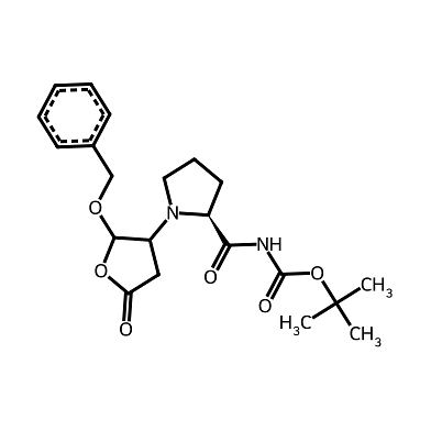 CC(C)(C)OC(=O)NC(=O)[C@@H]1CCCN1C1CC(=O)OC1OCc1ccccc1